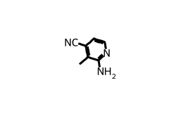 Cc1c(C#N)ccnc1N